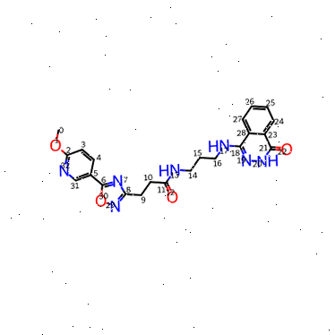 COc1ccc(-c2nc(CCC(=O)NCCCNc3n[nH]c(=O)c4ccccc34)no2)cn1